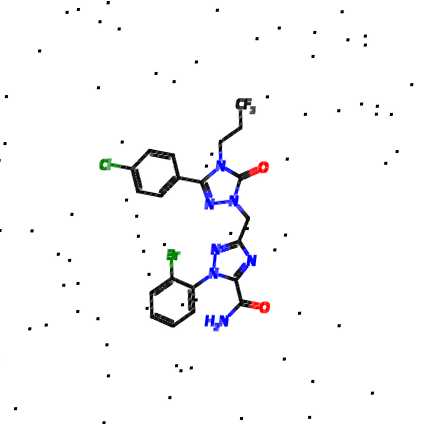 NC(=O)c1nc(Cn2nc(-c3ccc(Cl)cc3)n(CCC(F)(F)F)c2=O)nn1-c1ccccc1Br